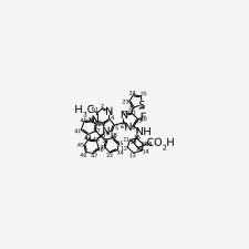 Cc1cnc2c(-c3nc(NC4C5CCC(CC5)C4C(=O)O)c(F)c(-c4cccs4)n3)cn(C(c3ccccc3)(c3ccccc3)c3ccccc3)c2n1